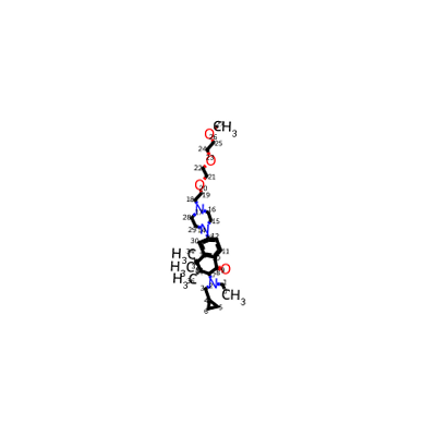 CCN(CC1CC1)C1C(=O)c2ccc(N3CCN(CCOCCOCCOC)CC3)cc2C(C)(C)[C@H]1C